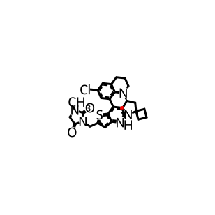 CN1CC(=O)N(Cc2cc3nccc(-c4cc(Cl)cc5c4N([C@@H]4CNC6(CCC6)C4)CCC5)c3s2)C1=O